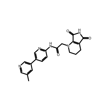 Cc1cncc(-c2ccc(NC(=O)CN3CCCC4=C3C(=O)NC4=O)nc2)c1